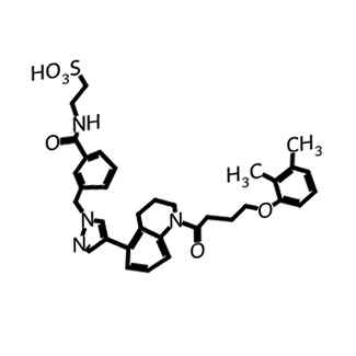 Cc1cccc(OCCCC(=O)N2CCCc3c(-c4cnn(Cc5cccc(C(=O)NCCS(=O)(=O)O)c5)c4)cccc32)c1C